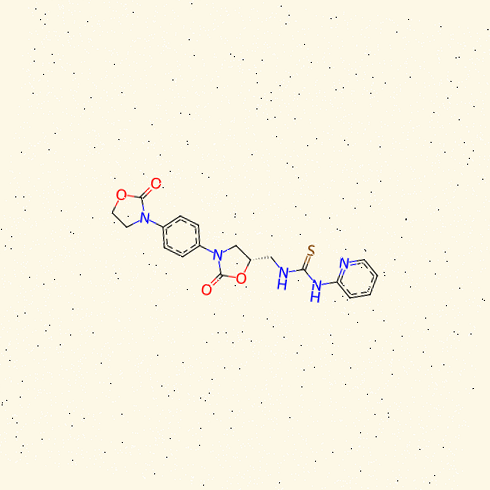 O=C1OCCN1c1ccc(N2C[C@H](CNC(=S)Nc3ccccn3)OC2=O)cc1